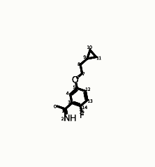 CC(=N)c1cc(OCCC2CC2)ccc1F